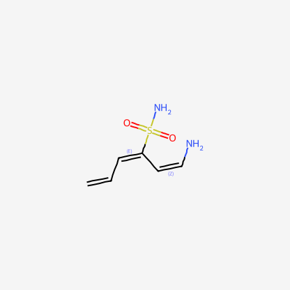 C=C/C=C(\C=C/N)S(N)(=O)=O